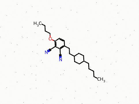 CCCCCC1CCC(CCc2ccc(OCCCC)c(C#N)c2C#N)CC1